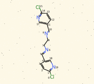 Clc1ccc(C=NCCN=Cc2ccc(Cl)nc2)cn1